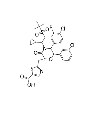 CC(C)(C)S(=O)(=O)CC(C1CC1)N1C(=O)[C@](C)(Cc2ncc(C(=O)O)s2)OC(c2cccc(Cl)c2)C1c1ccc(Cl)c(F)c1